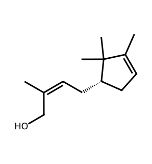 CC(=CC[C@H]1CC=C(C)C1(C)C)CO